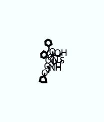 CC1SC[C@H]2[C@@H](NC(=O)COc3ccccc3)C(=O)N2C1(O)C(=O)OC(c1ccccc1)c1ccccc1